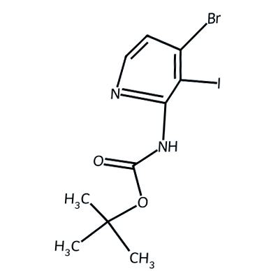 CC(C)(C)OC(=O)Nc1nccc(Br)c1I